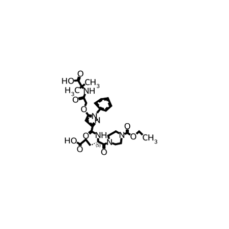 CCOC(=O)N1CCN(C(=O)[C@H](CCC(=O)O)NC(=O)c2cc(OCC(=O)NC(C)(C)C(=O)O)n(-c3ccccc3)n2)CC1